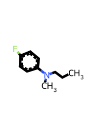 CCCN(C)c1ccc(F)cc1